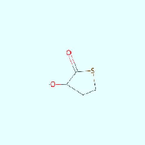 [O]C1CCSC1=O